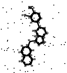 N#Cc1ccc(-c2cnc3ncc(Cc4ccc5ncccc5c4)n3n2)cc1F